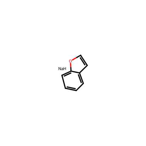 [NaH].c1ccc2occc2c1